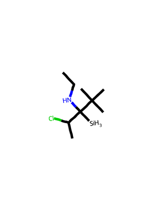 CCNC([SiH3])(C(C)Cl)C(C)(C)C